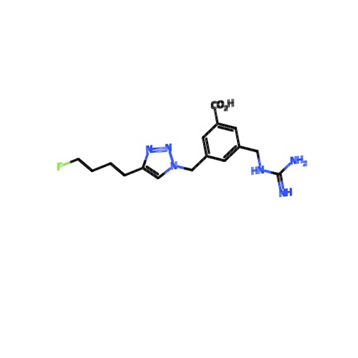 N=C(N)NCc1cc(Cn2cc(CCCCF)nn2)cc(C(=O)O)c1